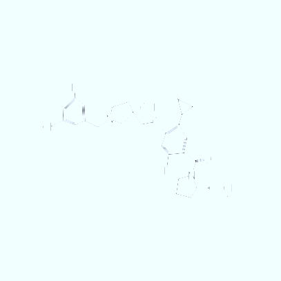 C[C@@]1(COc2cc(F)c(C(=O)N3CCC[C@H]3C(=O)O)cc2C2CC2)CCN(Cc2cc(F)cc(Cl)c2)C1